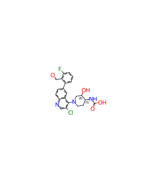 O=Cc1c(F)cccc1-c1ccc2ncc(Cl)c(N3CC[C@H](NC(=O)O)[C@H](O)C3)c2c1